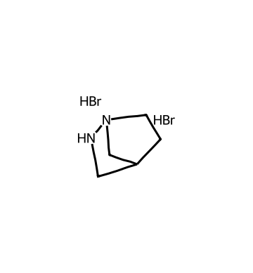 Br.Br.C1CN2CC1CN2